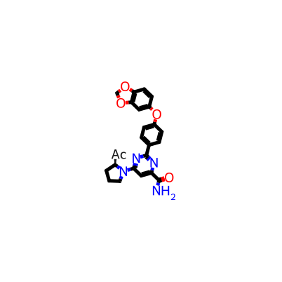 CC(=O)[C@@H]1CCCN1c1cc(C(N)=O)nc(-c2ccc(Oc3ccc4c(c3)OCO4)cc2)n1